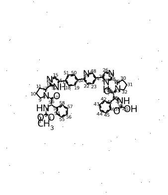 COC(=O)NC(C(=O)N1CCCC1c1ncc(-c2ccc(-c3ccc(-c4cnc([C@@H]5CCCN5C(=O)[C@H](NC(=O)O)c5ccccc5)[nH]4)cn3)cc2)[nH]1)c1ccccc1